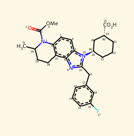 COC(=O)N1c2ccc3c(nc(Cc4cccc(F)c4)n3[C@@H]3CCC[C@@H](C(=O)O)C3)c2CCC1C